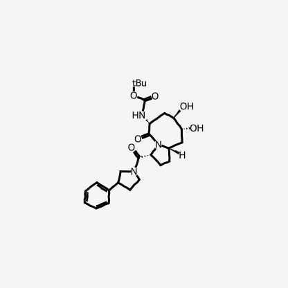 CC(C)(C)OC(=O)N[C@@H]1C[C@@H](O)[C@H](O)C[C@@H]2CC[C@H](C(=O)N3CCC(c4ccccc4)C3)N2C1=O